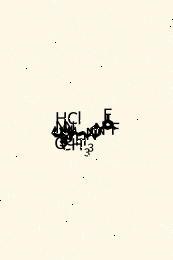 Cc1c(C=CCN2CCN(c3cc(F)cc(F)c3)CC2)cnn1-c1ncccc1S(C)(=O)=O.Cl